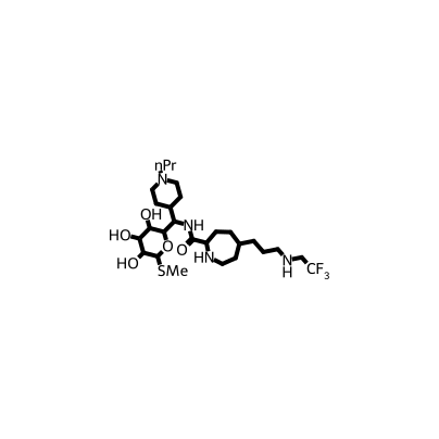 CCCN1CCC(C(NC(=O)C2CCC(CCCNCC(F)(F)F)CCN2)C2OC(SC)C(O)C(O)C2O)CC1